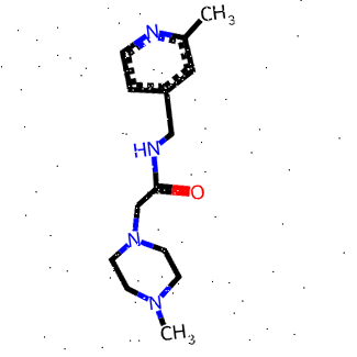 Cc1cc(CNC(=O)CN2CCN(C)CC2)ccn1